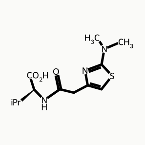 CC(C)[C@H](NC(=O)Cc1csc(N(C)C)n1)C(=O)O